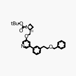 CC(C)(C)OC(=O)N1CC[C@H]1COc1cncc(-c2cccc(CCOCc3ccccc3)c2)c1